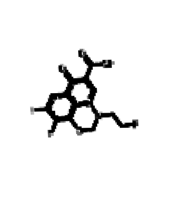 O=C(O)c1cn2c3c(c(F)c(F)cc3c1=O)OCN2CCF